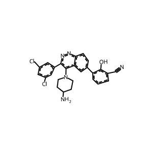 N#Cc1cccc(-c2ccc3nnc(-c4cc(Cl)cc(Cl)c4)c(N4CCC(N)CC4)c3c2)c1O